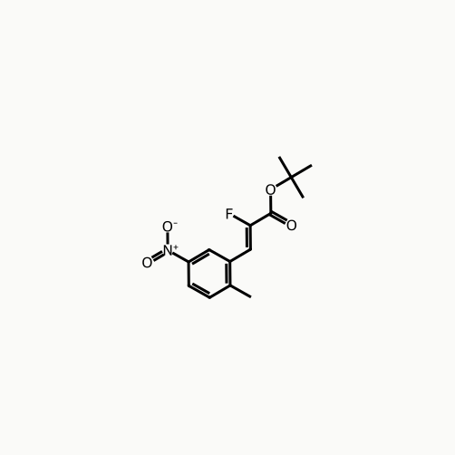 Cc1ccc([N+](=O)[O-])cc1C=C(F)C(=O)OC(C)(C)C